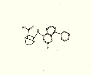 O=C(O)C1C2CCC(CC2)C1Nc1nc(Cl)nc2c(-c3ccccc3)cccc12